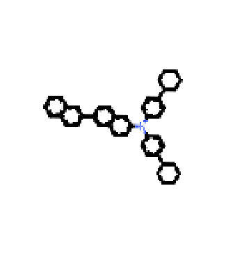 c1ccc2cc(-c3ccc4cc(N(c5ccc(C6CCCCC6)cc5)c5ccc(C6CCCCC6)cc5)ccc4c3)ccc2c1